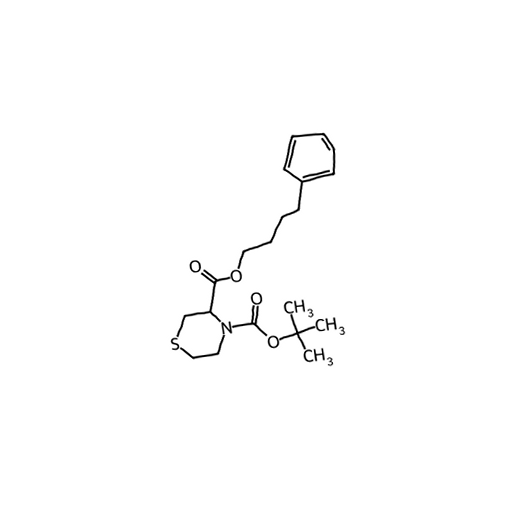 CC(C)(C)OC(=O)N1CCSCC1C(=O)OCCCCc1ccccc1